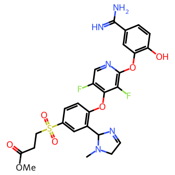 COC(=O)CCS(=O)(=O)c1ccc(Oc2c(F)cnc(Oc3cc(C(=N)N)ccc3O)c2F)c(C2N=CCN2C)c1